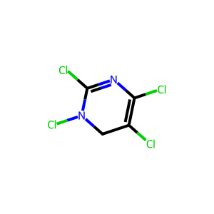 ClC1=NC(Cl)=C(Cl)CN1Cl